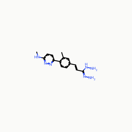 CNc1ccc(-c2ccc(/C=C/C(=N/N)NN)cc2C)nn1